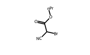 CCCOC(=O)C(Br)C#N